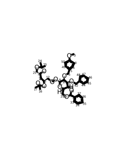 COc1ccc(CO[C@@H]2[C@H](OOC[C@H]3OC(C)(C)O[C@@H]3[C@@H]3COC(C)(C)O3)O[C@@H]3COC(c4ccccc4)O[C@H]3[C@@H]2OCc2ccccc2)cc1